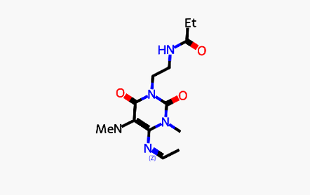 C/C=N\c1c(NC)c(=O)n(CCNC(=O)CC)c(=O)n1C